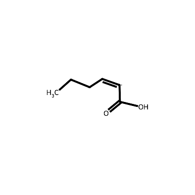 CCC/C=[C]\C(=O)O